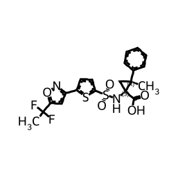 CC(F)(F)c1cc(-c2ccc(S(=O)(=O)N[C@@]3(C(=O)O)C[C@]3(C)c3ccccc3)s2)no1